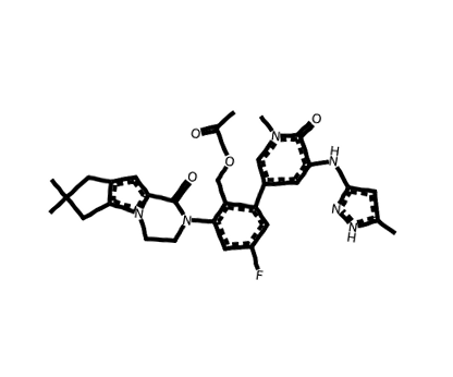 CC(=O)OCc1c(-c2cc(Nc3cc(C)[nH]n3)c(=O)n(C)c2)cc(F)cc1N1CCn2c(cc3c2CC(C)(C)C3)C1=O